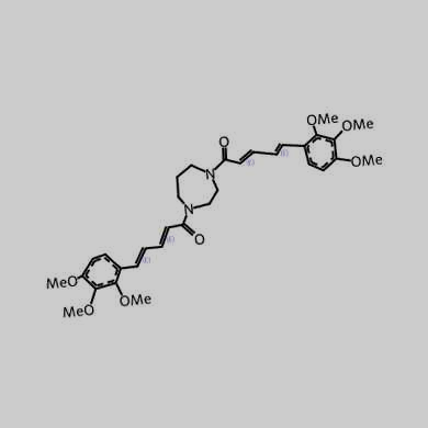 COc1ccc(/C=C/C=C/C(=O)N2CCCN(C(=O)/C=C/C=C/c3ccc(OC)c(OC)c3OC)CC2)c(OC)c1OC